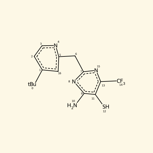 CC(C)(C)c1ccnc(Cc2nc(N)c(S)c(C(F)(F)F)n2)c1